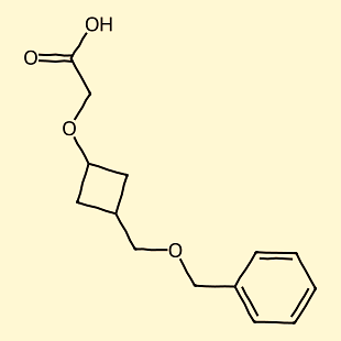 O=C(O)COC1CC(COCc2ccccc2)C1